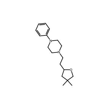 CC1(C)COC(CCN2CCN(c3ccccc3)CC2)C1